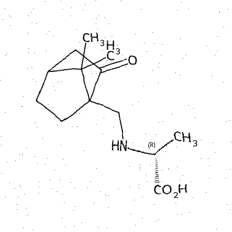 C[C@@H](NCC12CCC(CC1=O)C2(C)C)C(=O)O